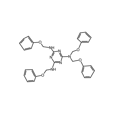 c1ccc(OCNc2nc(NCOc3ccccc3)nc(N(COc3ccccc3)COc3ccccc3)n2)cc1